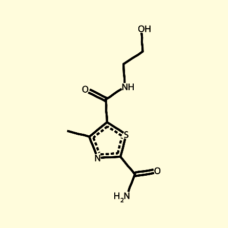 Cc1nc(C(N)=O)sc1C(=O)NCCO